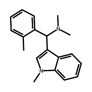 Cc1ccccc1C(c1cn(C)c2ccccc12)N(C)C